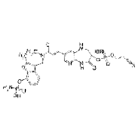 Cc1oc2c(OP(N)(=O)O)cccc2c1CN(C)C(=O)/C=C/c1cnc2c(c1)NC[C@@](C)(OP(=O)(O)OCCC#N)C(=O)N2